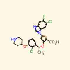 C[C@@H](Oc1cc(-n2cnc3cc(F)c(Cl)cc32)sc1C(=O)O)c1cccc(OC2CCNCC2)c1Cl